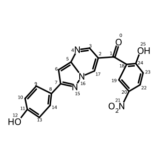 O=C(c1cnc2cc(-c3ccc(O)cc3)nn2c1)c1cc([N+](=O)[O-])ccc1O